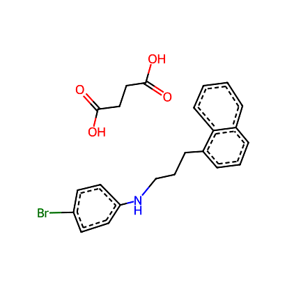 Brc1ccc(NCCCc2cccc3ccccc23)cc1.O=C(O)CCC(=O)O